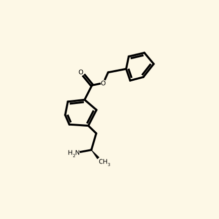 C[C@@H](N)Cc1cccc(C(=O)OCc2ccccc2)c1